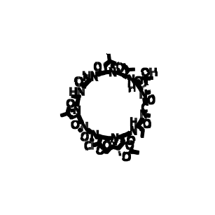 CCC1NC(=O)C([C@H](OC(C)=O)[C@H](C)CC=O)N(C)C(=O)C(C(C)Cl)N(C)C(=O)N(C)C(=O)[C@@H](CC(C)C)N(C)C(=O)C(C)NC(=O)[C@@H](C)NC(=O)[C@@H](CC(C)C)N(C)C(=O)[C@@H](C(C)C)NC(=O)[C@H](CC(C)(C)O)N(C)C(=O)CN(C)C1=O